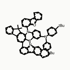 CC(C)(C)c1ccc(N(c2ccc(C(C)(C)C)cc2)c2ccc3c(c2)B2c4c(cc5c(c4N3c3cccc4c3oc3ccccc34)C(C)(C)c3ccccc3-5)-c3cccc4c5cc6ccccc6cc5n2c34)cc1